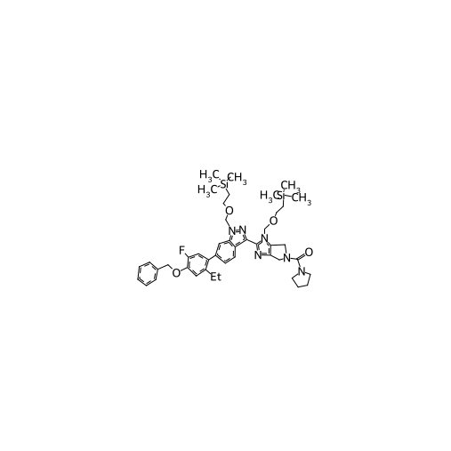 CCc1cc(OCc2ccccc2)c(F)cc1-c1ccc2c(-c3nc4c(n3COCC[Si](C)(C)C)CN(C(=O)N3CCCC3)C4)nn(COCC[Si](C)(C)C)c2c1